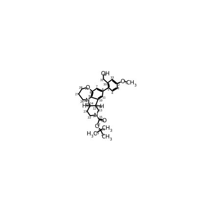 COc1ccc(-c2cc3c4c(c2)[C@@H]2CN(C(=O)OC(C)(C)C)CC[C@@H]2N4CCCO3)c(CO)c1